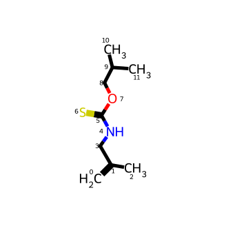 C=C(C)CNC(=S)OCC(C)C